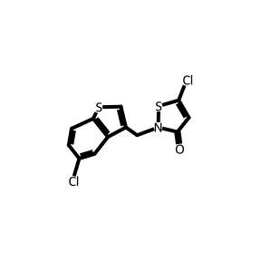 O=c1cc(Cl)sn1Cc1csc2ccc(Cl)cc12